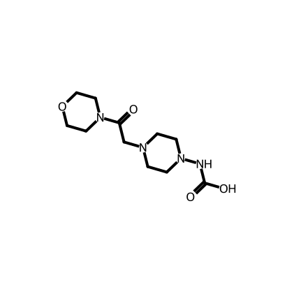 O=C(O)NN1CCN(CC(=O)N2CCOCC2)CC1